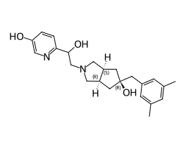 Cc1cc(C)cc(C[C@]2(O)C[C@H]3CN(CC(O)c4ccc(O)cn4)C[C@H]3C2)c1